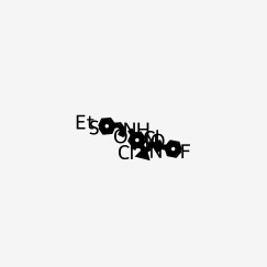 CCSc1ccc(CC(=O)Nc2cc(Cl)c(C3(c4noc(-c5ccc(F)cc5)n4)CC3)c(Cl)c2)cc1